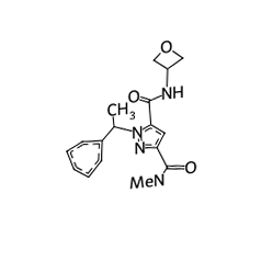 CNC(=O)c1cc(C(=O)NC2COC2)n(C(C)c2ccccc2)n1